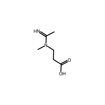 CC(=N)N(C)CCC(=O)O